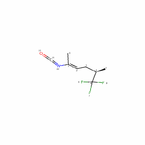 C/C(=C\C[C@@H](C)C(F)(F)F)N=C=O